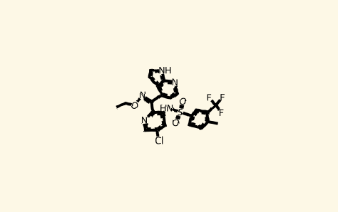 CCO/N=C(\c1ncc(Cl)cc1NS(=O)(=O)c1ccc(C)c(C(F)(F)F)c1)c1ccnc2[nH]ccc12